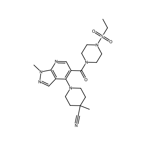 CCS(=O)(=O)N1CCN(C(=O)c2cnc3c(cnn3C)c2N2CCC(C)(C#N)CC2)CC1